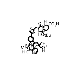 CCn1c(-c2cccnc2[C@H](C)OC)c(CC(C)(C)CO)c2cc(-c3csc(C[C@H](NC(=O)OC(C)(C)C)C(=O)N4CCC[C@@H](C(=O)O)N4)n3)ccc21